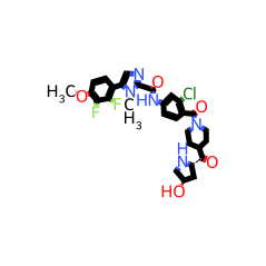 COc1ccc(-c2cnc(C(=O)Nc3ccc(C(=O)N4CCC(C(=O)[C@@H]5C[C@@H](O)CN5)CC4)c(Cl)c3)n2C)c(F)c1F